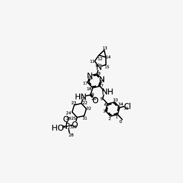 Cc1ccc(CNc2nc(N3CC4CC4C3)ncc2C(=O)NC2CCC(OP(C)(=O)O)CC2)cc1Cl